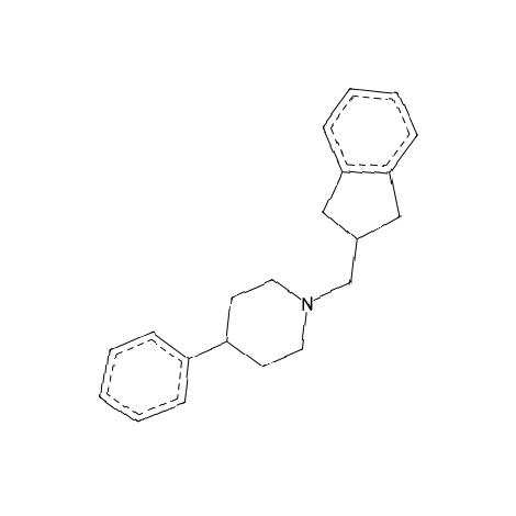 c1ccc(C2CCN(CC3Cc4ccccc4C3)CC2)cc1